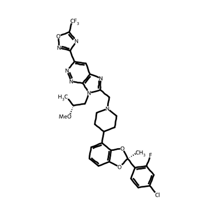 CO[C@H](C)Cn1c(CN2CCC(c3cccc4c3O[C@@](C)(c3ccc(Cl)cc3F)O4)CC2)nc2cc(-c3noc(C(F)(F)F)n3)nnc21